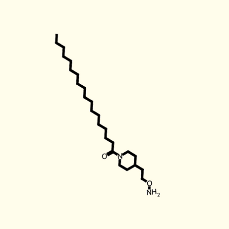 CCCCCCCCCCCCCCCCCC(=O)N1CCC(CCON)CC1